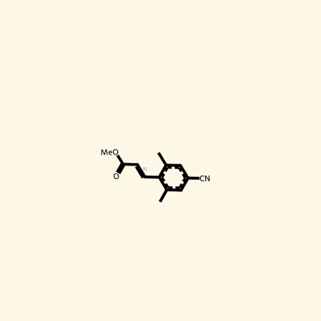 COC(=O)/C=C/c1c(C)cc(C#N)cc1C